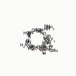 CC[C@H](C)[C@@H]1NC(=O)[C@@H](CCCNC(=N)N)NC(=O)[C@H](CC(C)C)NC(=O)[C@H]([C@H](OC(=O)C(F)(F)F)C(C)C)NC(=O)[C@@H](NC(=O)[C@H](CC2CC2)NC(=O)[C@@H](CC(C)C)NC(=O)OC(C)(C)C)[C@@H](c2ccccc2)OC(=O)[C@H](CO)NC(=O)[C@H]([C@H](O)C(N)=O)NC(=O)CNC(=O)[C@H]([C@H](C)O)NC1=O